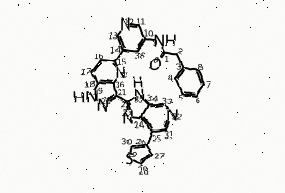 O=C(Cc1ccccc1)Nc1cncc(-c2ccc3[nH]nc(-c4nc5c(-c6ccsc6)cncc5[nH]4)c3n2)c1